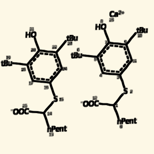 CCCCCC(Sc1cc(C(C)(C)C)c(O)c(C(C)(C)C)c1)C(=O)[O-].CCCCCC(Sc1cc(C(C)(C)C)c(O)c(C(C)(C)C)c1)C(=O)[O-].[Ca+2]